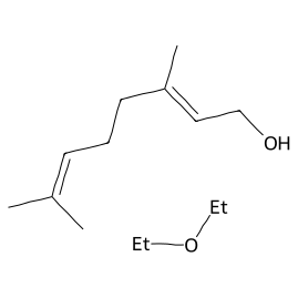 CC(C)=CCCC(C)=CCO.CCOCC